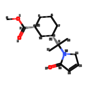 COC(=O)[C@@H]1CCC[C@H](C(C)(C)N2CC=CC2=O)C1